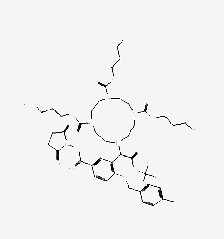 CCCCOC(=O)N1CCN(C(=O)OCCCC)CCN(C(C(=O)OC(C)(C)C)c2cc(C(=O)ON3C(=O)CCC3=O)ccc2OCc2ccc(I)cc2)CCN(C(=O)OCCCC)CC1